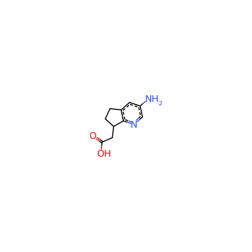 Nc1cnc2c(c1)CCC2CC(=O)O